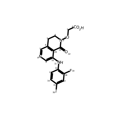 O=C(O)CON1CCc2cncc(Nc3ccc(I)cc3F)c2C1=O